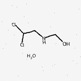 O.OCNCC(Cl)Cl